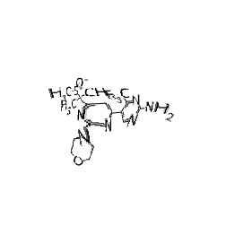 C[S+]([O-])C(C)(C)c1cc(-c2cnc(N)nc2C(F)(F)F)nc(N2CCOCC2)n1